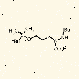 CC(C)(C)NN(CCCO[Si](C)(C)C(C)(C)C)C(=O)O